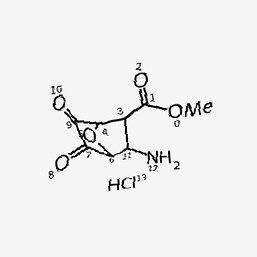 COC(=O)C1C2OC(C(=O)C2=O)C1N.Cl